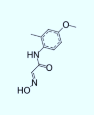 COc1ccc(NC(=O)C=NO)c(C)c1